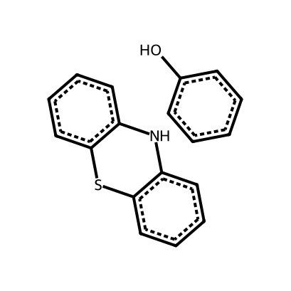 Oc1ccccc1.c1ccc2c(c1)Nc1ccccc1S2